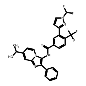 CC(O)c1ccn2c(NC(=O)c3ccc(C(F)(F)F)c(-c4ccn(C(F)F)n4)c3)c(-c3ccccc3)nc2c1